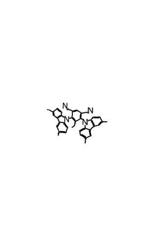 CCc1c(-n2c3ccc(C)cc3c3cc(C)ccc32)c(C#N)cc(C#N)c1-n1c2ccc(C)cc2c2cc(C)ccc21